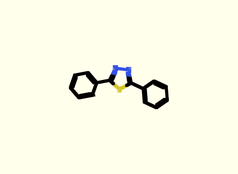 [c]1ccccc1-c1nnc(-c2ccccc2)s1